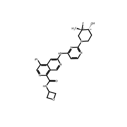 CC(C)c1cnc(C(=O)NC2COC2)c2cnc(Nc3ccnc(N4CC[C@@H](O)[C@@](C)(F)C4)n3)cc12